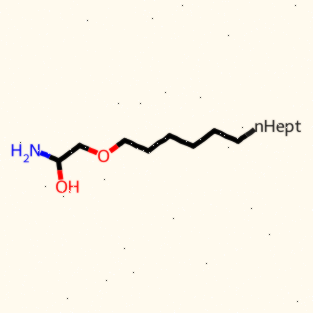 CCCCCCCCCCCCCOCC(N)O